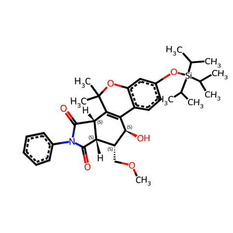 COC[C@@H]1[C@@H]2C(=O)N(c3ccccc3)C(=O)[C@@H]2C2=C(c3ccc(O[Si](C(C)C)(C(C)C)C(C)C)cc3OC2(C)C)[C@H]1O